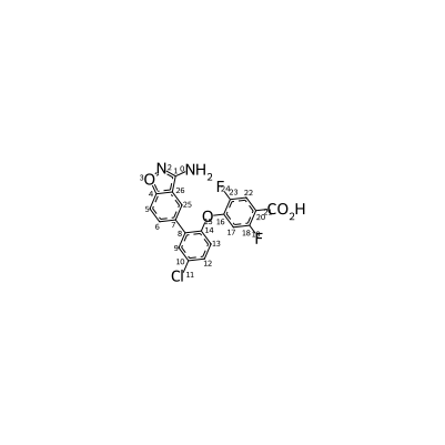 Nc1noc2ccc(-c3cc(Cl)ccc3Oc3cc(F)c(C(=O)O)cc3F)cc12